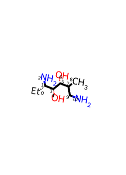 CC[C@H](N)[C@@H](O)[C@H](O)C(C)CN